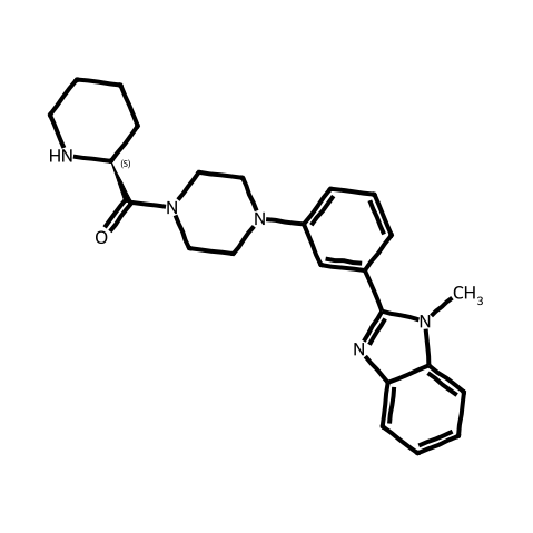 Cn1c(-c2cccc(N3CCN(C(=O)[C@@H]4CCCCN4)CC3)c2)nc2ccccc21